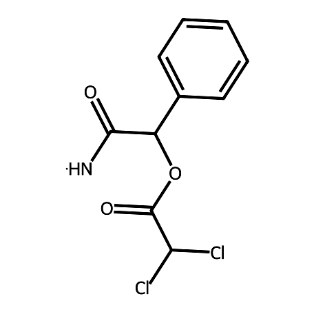 [NH]C(=O)C(OC(=O)C(Cl)Cl)c1ccccc1